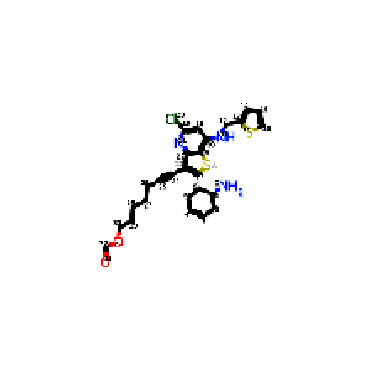 N[C@H]1CC=CC[C@@H]1c1sc2c(NCc3cccs3)cc(Cl)nc2c1C#CCCCCCOC=O